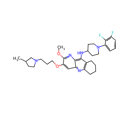 COc1nc2c(NC3CCN(c4cccc(F)c4F)CC3)c3c(nc2cc1OCCCN1CCC(C)C1)CCCC3